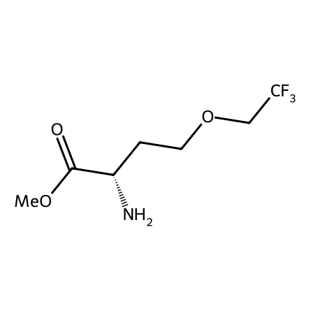 COC(=O)[C@@H](N)CCOCC(F)(F)F